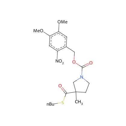 CCCCSC(=O)C1(C)CCN(C(=O)OCc2cc(OC)c(OC)cc2[N+](=O)[O-])C1